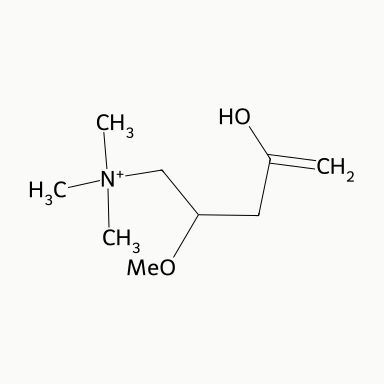 C=C(O)CC(C[N+](C)(C)C)OC